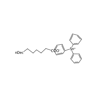 CCCCCCCCCCCCCCCC(=O)[O-].c1cc[c]([Sn+]([c]2ccccc2)[c]2ccccc2)cc1